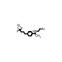 C=C(NCCC(C)=O)C1=CCC(CCCC(C)(F)F)C=C1